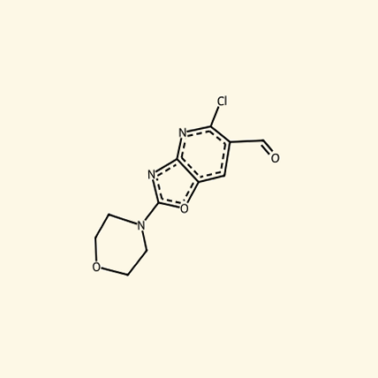 O=Cc1cc2oc(N3CCOCC3)nc2nc1Cl